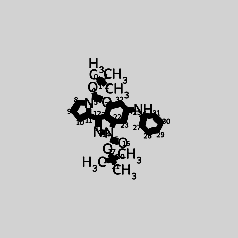 CC(C)(C)OC(=O)n1cccc1-c1nn(C(=O)OC(C)(C)C)c2cc(Nc3ccccc3)ccc12